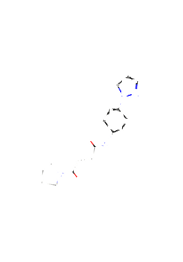 O=C(Nc1ccc(-n2cccn2)cc1)[C@H](O)[C@@H](O)C(=O)N1CCCC1